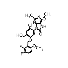 COc1ccc(F)c(F)c1COc1cc(-n2c(=O)[nH]c3c(OC)nc(C)nc32)c(Cl)cc1CO